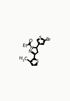 CCC(=O)N1N=C(c2sccc2C)CC1c1csc(Br)c1